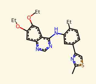 CCOc1cc2ncnc(Nc3cc(-c4csc(C)n4)ccc3CC)c2cc1OCC